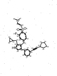 CN(C)C=NS(=O)(=O)c1ccc(Cc2c(-c3cccc(C#CC4CCCC4)c3)c[nH]c2CC2CC2)cc1F